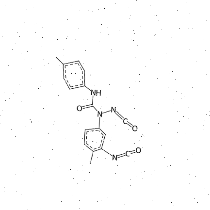 Cc1ccc(NC(=O)N(N=C=O)c2ccc(C)c(N=C=O)c2)cc1